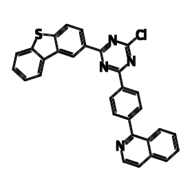 Clc1nc(-c2ccc(-c3nccc4ccccc34)cc2)nc(-c2ccc3sc4ccccc4c3c2)n1